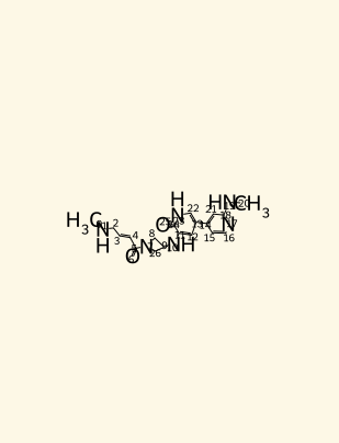 CNCC=CC(=O)N1CC(Nc2cc(-c3ccnc(NC)c3)c[nH]c2=O)C1